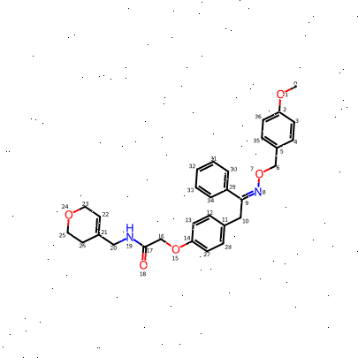 COc1ccc(CON=C(Cc2ccc(OCC(=O)NCC3=CCOCC3)cc2)c2ccccc2)cc1